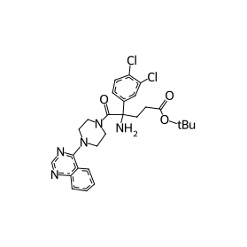 CC(C)(C)OC(=O)CCC(N)(C(=O)N1CCN(c2ncnc3ccccc23)CC1)c1ccc(Cl)c(Cl)c1